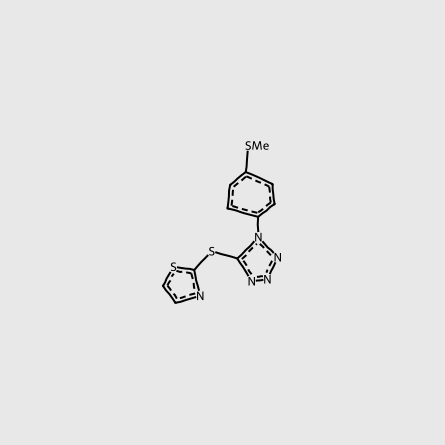 CSc1ccc(-n2nnnc2Sc2nccs2)cc1